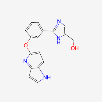 OCc1cnc(-c2cccc(Oc3ccc4[nH]ccc4n3)c2)[nH]1